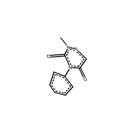 Cn1ncc(=O)n(-c2ccccc2)c1=O